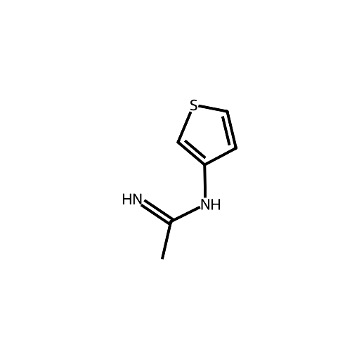 CC(=N)Nc1ccsc1